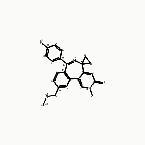 C=C1C=C2C(=CN1C)c1cc(CSCC)ccc1C(c1ccc(F)cc1)=NC21CC1